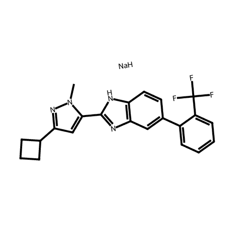 Cn1nc(C2CCC2)cc1-c1nc2cc(-c3ccccc3C(F)(F)F)ccc2[nH]1.[NaH]